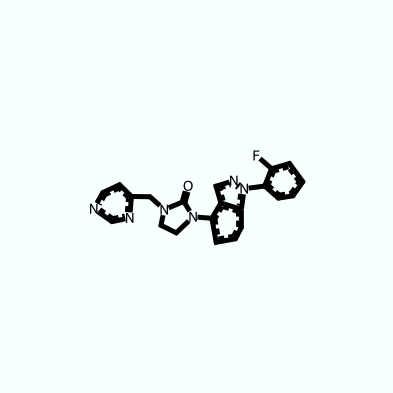 O=C1N(Cc2ccncn2)CCN1c1cccc2c1cnn2-c1ccccc1F